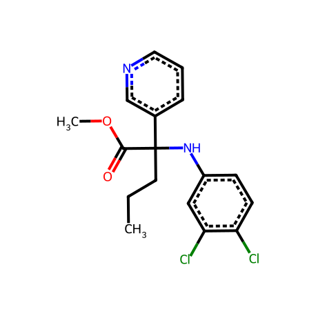 CCCC(Nc1ccc(Cl)c(Cl)c1)(C(=O)OC)c1cccnc1